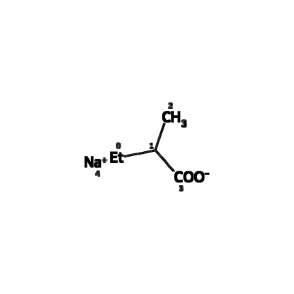 CCC(C)C(=O)[O-].[Na+]